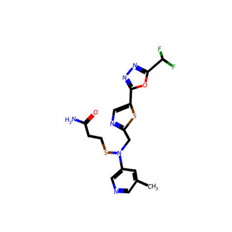 Cc1cncc(N(Cc2ncc(-c3nnc(C(F)F)o3)s2)SCCC(N)=O)c1